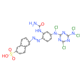 NC(=O)Nc1cc(N(Cl)c2nc(Cl)nc(N(Cl)Cl)n2)ccc1N=Nc1ccc2cc(S(=O)(=O)O)ccc2c1